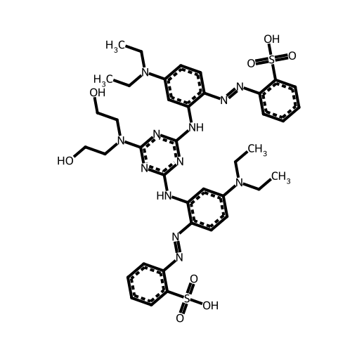 CCN(CC)c1ccc(/N=N/c2ccccc2S(=O)(=O)O)c(Nc2nc(Nc3cc(N(CC)CC)ccc3/N=N/c3ccccc3S(=O)(=O)O)nc(N(CCO)CCO)n2)c1